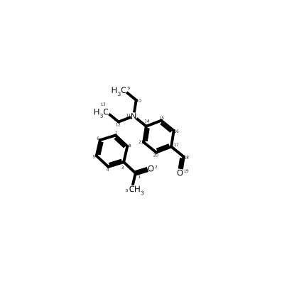 CC(=O)c1ccccc1.CCN(CC)c1ccc(C=O)cc1